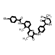 Cc1c(NC(=O)c2ccc(C(C)(C)C)cc2)cccc1-c1cn(C)c(=O)c(Nc2ccc(C3NCC[N+](C)(C(C)C)C3=O)cc2)n1